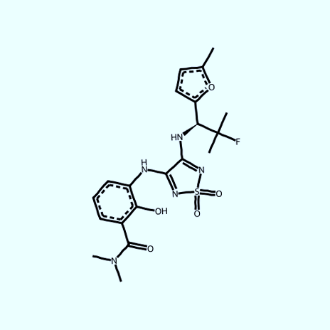 Cc1ccc([C@H](NC2=NS(=O)(=O)N=C2Nc2cccc(C(=O)N(C)C)c2O)C(C)(C)F)o1